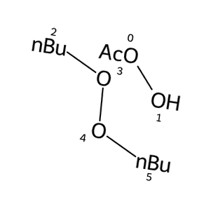 CC(=O)OO.CCCCOOCCCC